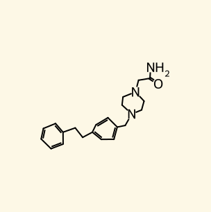 NC(=O)CN1CCN(Cc2ccc(CCc3ccccc3)cc2)CC1